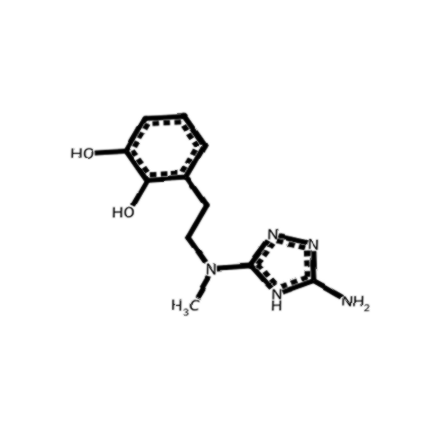 CN(CCc1cccc(O)c1O)c1nnc(N)[nH]1